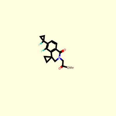 COC(=O)CN1CC2(CC2)c2c(ccc(C3(F)CC3)c2F)C1=O